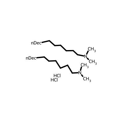 CCCCCCCCCCCCCCCCN(C)C.CCCCCCCCCCCCCCCCN(C)C.Cl.Cl